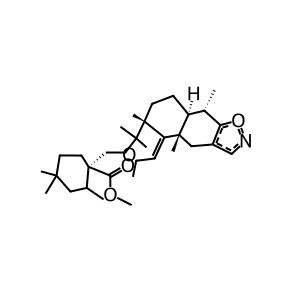 COC(=O)[C@]1(CCC(C)(C)[C@]2(C)CC[C@H]3[C@H](C)c4oncc4C[C@]3(C)/C2=C/C(C)=O)CCC(C)(C)CC1C